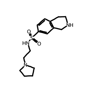 O=S(=O)(NCCN1CCCC1)c1ccc2c(c1)CNCC2